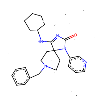 O=C1N=C(NC2CCCCC2)C2(CCN(Cc3ccccc3)CC2)N1c1cccnc1